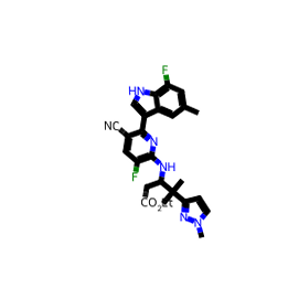 CCOC(=O)CC(Nc1nc(-c2c[nH]c3c(F)cc(C)cc23)c(C#N)cc1F)C(C)(C)c1ccn(C)n1